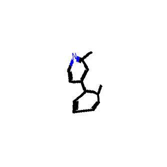 Cc1cc(C2C=CC=CC2C)ccn1